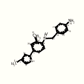 Cc1csc(-c2ccc(NCc3ccc(N)cc3)c(C)c2)c1